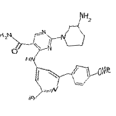 COc1ccc(-c2cc(Nc3nc(N4CCCC(N)C4)ncc3C(N)=O)cc(C(C)C)n2)cc1